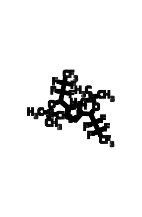 C[Si](C)(C)OC(c1ccc(C(O[Si](C)(C)C)C(F)(F)C(F)(F)C(F)(F)F)[nH]1)C(F)(F)C(F)(F)C(F)(F)F